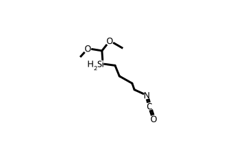 COC(OC)[SiH2]CCCCN=C=O